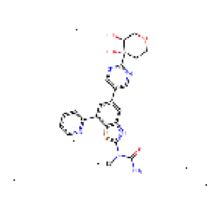 CCN(C(N)=O)c1nc2cc(-c3cnc([C@]4(O)CCOC[C@@H]4O)nc3)cc(-c3ccccn3)c2s1